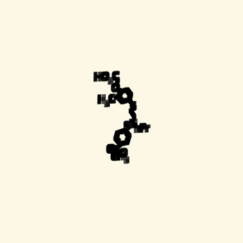 CCCN(CCSc1ccc(OCC(=O)O)c(C)c1)Sc1ccc(S(C)(=O)=O)cc1